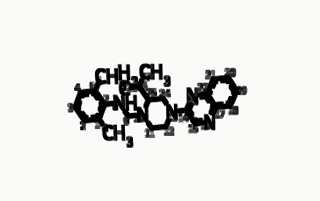 Cc1cccc(C)c1NCN1CCN(c2cnc3ccccc3n2)CC1C(C)C